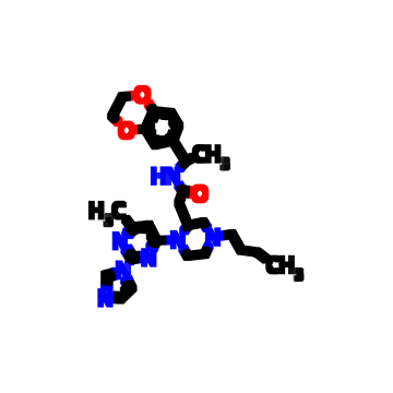 CCCCN1CCN(c2cc(C)nc(-n3ccnc3)n2)C(CC(=O)NC(C)c2ccc3c(c2)OCCO3)C1